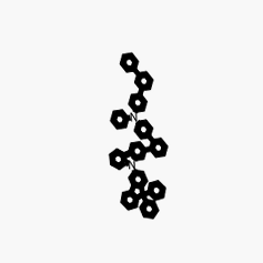 c1ccc(-c2cccc(-c3ccc(N(c4ccccc4)c4ccc(-c5ccccc5-c5ccc6c7ccccc7n(-c7ccc8c(c7)-c7ccccc7C8(c7ccccc7)c7ccccc7)c6c5)cc4)cc3)c2)cc1